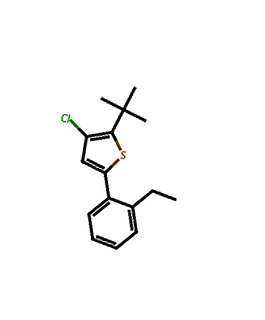 CCc1ccccc1-c1cc(Cl)c(C(C)(C)C)s1